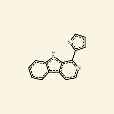 c1csc(-c2nccc3c2[nH]c2ccccc23)c1